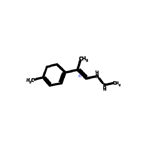 CBN/C=C(\C)C1=CC=C(C)CC1